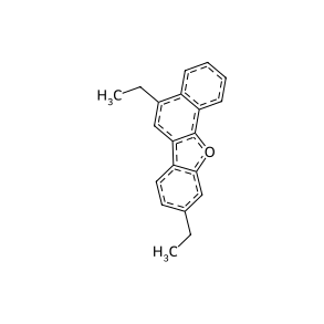 CCc1ccc2c(c1)oc1c3ccccc3c(CC)cc21